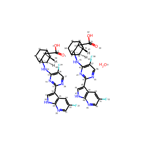 O.O=C(O)[C@H]1C2CCC(CC2)[C@@H]1Nc1nc(-c2c[nH]c3ncc(F)cc23)ncc1F.O=C(O)[C@H]1C2CCC(CC2)[C@@H]1Nc1nc(-c2c[nH]c3ncc(F)cc23)ncc1F